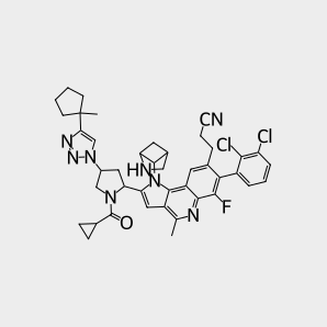 Cc1nc2c(F)c(-c3cccc(Cl)c3Cl)c(CCC#N)cc2c2c1cc(C1CC(n3cc(C4(C)CCCC4)nn3)CN1C(=O)C1CC1)n2C1C2CNC1C2